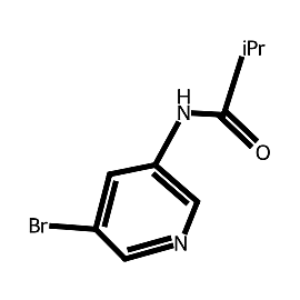 CC(C)C(=O)Nc1cncc(Br)c1